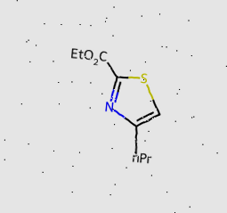 CCCc1csc(C(=O)OCC)n1